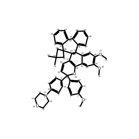 COc1ccc(C2(c3ccc(N4CCOCC4)cc3)C=Cc3c4c(c5cc(OC)c(OC)cc5c3O2)-c2ccccc2-c2ccccc2C42CC(C)(C)C2)cc1